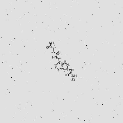 CCNC(=O)Nc1cc2cccc(CNC(=O)CCC(N)=O)c2cn1